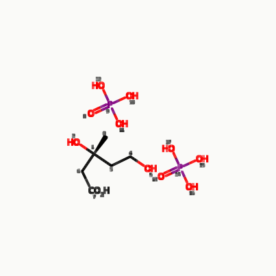 C[C@@](O)(CCO)CC(=O)O.O=P(O)(O)O.O=P(O)(O)O